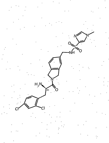 Cn1cnc(S(=O)(=O)NCc2ccc3c(c2)CN(C(=O)[C@H](N)Cc2ccc(Cl)cc2Cl)C3)c1